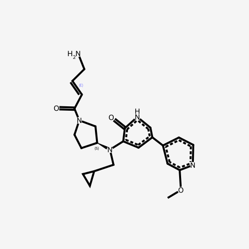 COc1cc(-c2c[nH]c(=O)c(N(CC3CC3)[C@H]3CCN(C(=O)/C=C/CN)C3)c2)ccn1